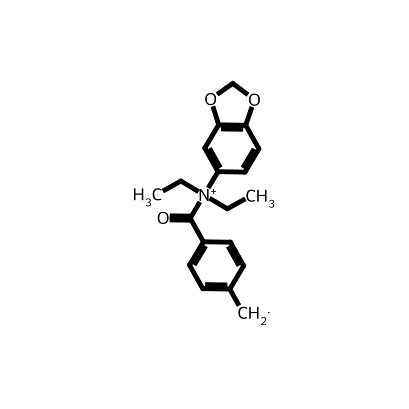 [CH2]c1ccc(C(=O)[N+](CC)(CC)c2ccc3c(c2)OCO3)cc1